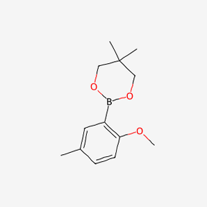 COc1ccc(C)cc1B1OCC(C)(C)CO1